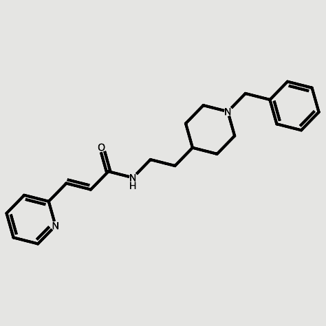 O=C(C=Cc1ccccn1)NCCC1CCN(Cc2ccccc2)CC1